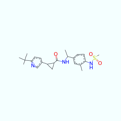 Cc1cc(C(C)NC(=O)C2CC2c2ccc(C(C)(C)C)nc2)ccc1NS(C)(=O)=O